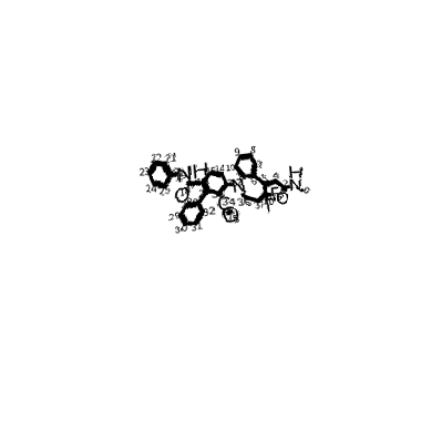 CNC(=O)C=C1c2ccccc2N(C2C=CC(C(=O)Nc3ccccc3)=C(c3ccccc3)C2=C=O)CCC1(F)F